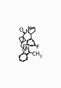 Cc1nn(CC23CC(C(=O)N4N=CCC4c4cc(F)cc(F)c4)(C2)C3)c2ccccc12